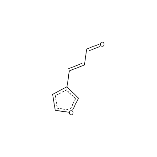 O=C/C=C/c1ccoc1